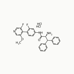 COc1cncc(F)c1-c1ccc(NC(=O)[C@@H](N)C(c2ccccc2)c2ccccc2)cc1F.Cl.Cl